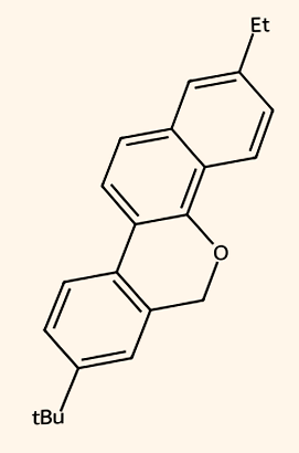 CCc1ccc2c3c(ccc2c1)-c1ccc(C(C)(C)C)cc1CO3